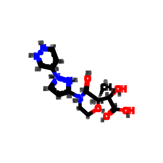 C[C@]1(C(O)C(=O)O)OCCN(c2ccn(-c3ccnnc3)n2)C1=O